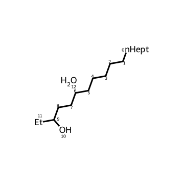 CCCCCCCCCCCCCCCC(O)CC.O